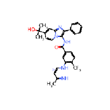 CC(=N)/C=C\Nc1cc(C(=O)Nc2c(-c3ccccc3)nc3cc(C(C)(C)O)ccn23)ccc1C(F)(F)F